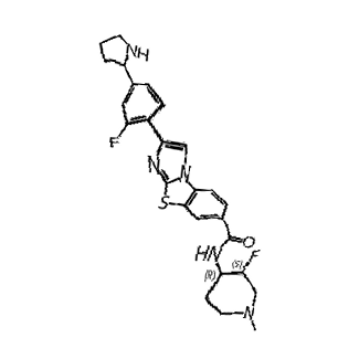 CN1CC[C@@H](NC(=O)c2ccc3c(c2)sc2nc(-c4ccc(C5CCCN5)cc4F)cn23)[C@@H](F)C1